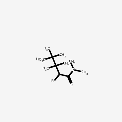 CC(C)C(C(=O)N(C)C)C(C)(C)C(C)(C)C(=O)O